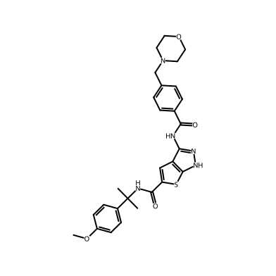 COc1ccc(C(C)(C)NC(=O)c2cc3c(NC(=O)c4ccc(CN5CCOCC5)cc4)n[nH]c3s2)cc1